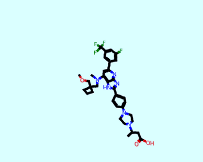 COCC1(CN(C)c2cc(-c3cc(F)cc(C(F)(F)F)c3)nc3nc(-c4ccc(N5CCN(C(C)CC(=O)O)CC5)cc4)[nH]c23)CCC1